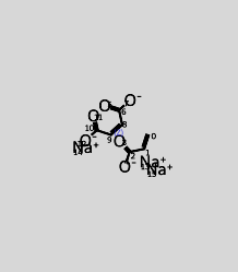 C=CC(=O)[O-].O=C([O-])/C=C\C(=O)[O-].[Na+].[Na+].[Na+]